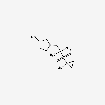 CC(C)(C)C1(S(=O)(=O)C(C)(C)CN2CCC(O)C2)CC1